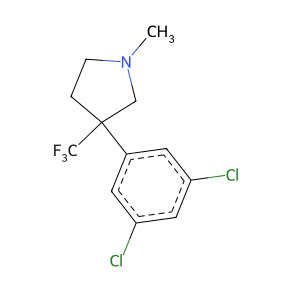 CN1CCC(c2cc(Cl)cc(Cl)c2)(C(F)(F)F)C1